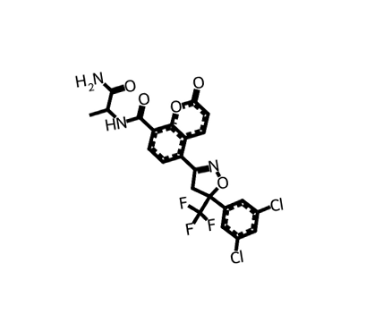 CC(NC(=O)c1ccc(C2=NOC(c3cc(Cl)cc(Cl)c3)(C(F)(F)F)C2)c2ccc(=O)oc12)C(N)=O